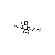 C[Si](C)(C)CCOCn1cc(-c2cccc(Cl)c2)c2c(NCCCO)ncnc21